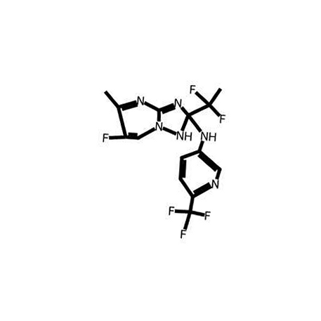 CC1=NC2=NC(Nc3ccc(C(F)(F)F)nc3)(C(C)(F)F)NN2C=C1F